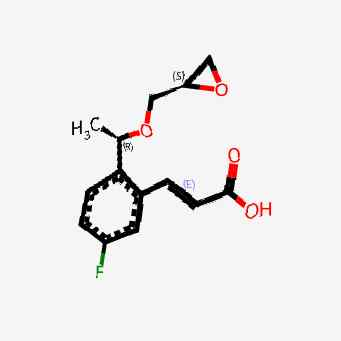 C[C@@H](OC[C@H]1CO1)c1ccc(F)cc1/C=C/C(=O)O